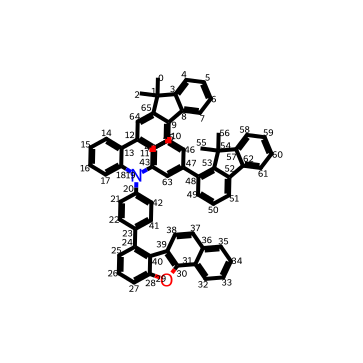 CC1(C)c2ccccc2-c2ccc(-c3ccccc3N(c3ccc(-c4cccc5oc6c7ccccc7ccc6c45)cc3)c3cccc(-c4cccc5c4C(C)(C)c4ccccc4-5)c3)cc21